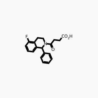 O=C(O)CCC(=O)N1CCc2c(F)cccc2C1c1ccccc1